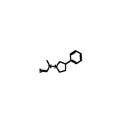 CN(C=S)N1CCC(c2ccccc2)C1